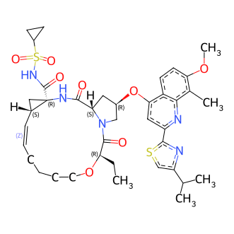 CC[C@H]1OCCCC/C=C\[C@@H]2C[C@@]2(C(=O)NS(=O)(=O)C2CC2)NC(=O)[C@@H]2C[C@@H](Oc3cc(-c4nc(C(C)C)cs4)nc4c(C)c(OC)ccc34)CN2C1=O